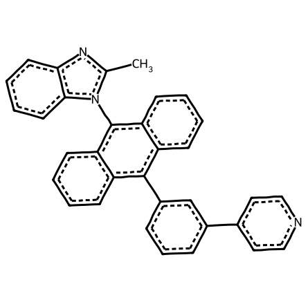 Cc1nc2ccccc2n1-c1c2ccccc2c(-c2cccc(-c3ccncc3)c2)c2ccccc12